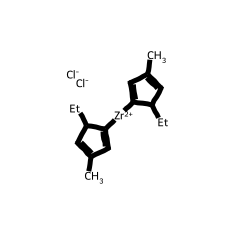 CCC1C=C(C)C=[C]1[Zr+2][C]1=CC(C)=CC1CC.[Cl-].[Cl-]